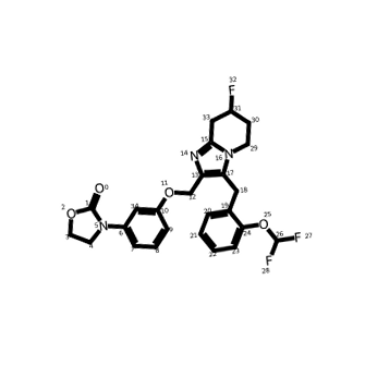 O=C1OCCN1c1cccc(OCc2nc3n(c2Cc2ccccc2OC(F)F)CCC(F)C3)c1